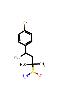 CCCCC(CC(C)(C)[S+](N)[O-])c1ccc(Br)cc1